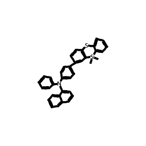 C[Si]1(C)c2ccccc2Sc2ccc(-c3ccc(N(c4ccccc4)c4cccc5ccccc45)cc3)cc21